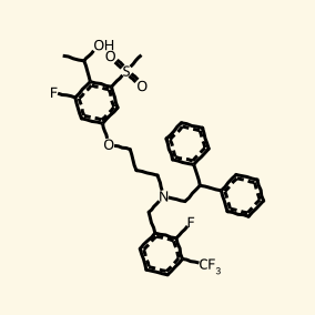 CC(O)c1c(F)cc(OCCCN(Cc2cccc(C(F)(F)F)c2F)CC(c2ccccc2)c2ccccc2)cc1S(C)(=O)=O